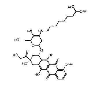 COc1cccc2c1C(=O)c1c(O)c3c(c(O)c1C2=O)C[C@@](O)(C(=O)CO)C[C@@H]3OC1CC(NCCCCCCCC(OC(C)=O)OC(C)=O)C(O)C(C)O1.Cl